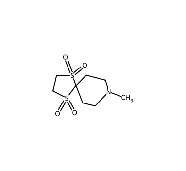 CN1CCC2(CC1)S(=O)(=O)CCS2(=O)=O